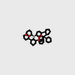 c1ccc(-c2cccc(-c3ccccc3)c2N(c2ccccc2)c2ccc3c(c2)C(c2ccccc2)(c2ccccc2)c2ccccc2-3)cc1